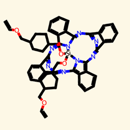 C=COCC1CCC(CO[Si]2(OCC3CCC(COC=C)CC3)n3c4c5ccccc5c3/N=C3N=C(/N=c5/c6ccccc6/c(n52)=N/C2=NC(=N\4)/c4ccccc42)c2ccccc2\3)CC1